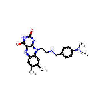 Cc1cc2nc3c(=O)[nH]c(=O)nc-3n(CCNCc3ccc(N(C)C)cc3)c2cc1C